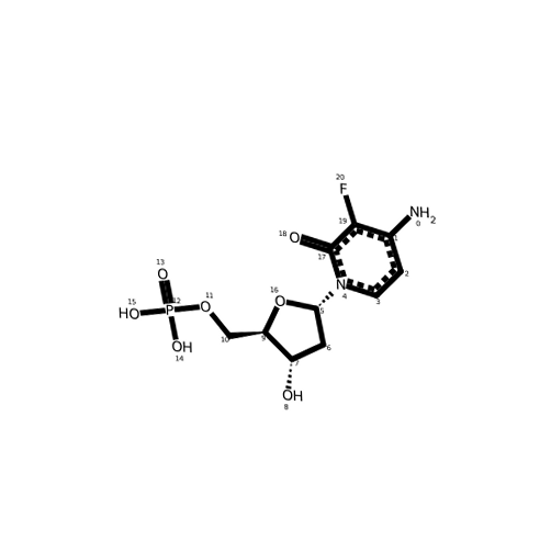 Nc1ccn([C@@H]2C[C@H](O)[C@@H](COP(=O)(O)O)O2)c(=O)c1F